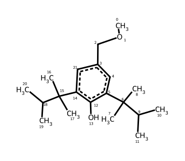 COCc1cc(C(C)(C)C(C)C)c(O)c(C(C)(C)C(C)C)c1